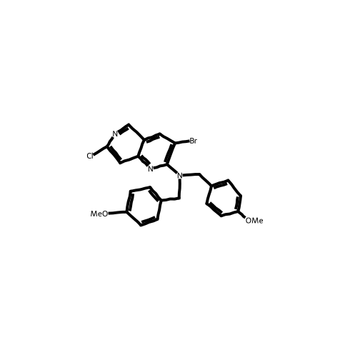 COc1ccc(CN(Cc2ccc(OC)cc2)c2nc3cc(Cl)ncc3cc2Br)cc1